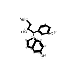 CNC[C@@H](O)[C@H](c1ccccc1)n1ccc2cc(O)ccc21.Cl